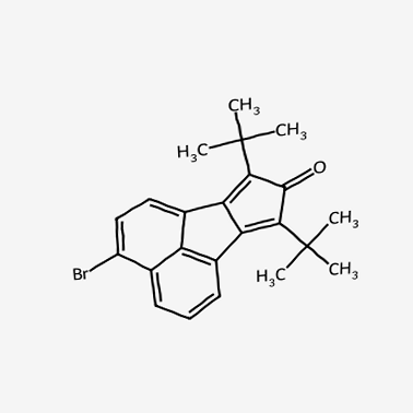 CC(C)(C)C1=C2C(=C(C(C)(C)C)C1=O)c1ccc(Br)c3cccc2c13